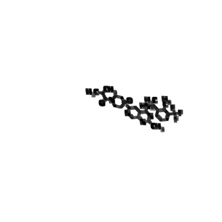 Cc1nc(N[C@H](C)c2cccc(C(F)(F)F)c2C)c2cc(P3(=O)CCN(C(=O)C(C)C)CC3)ncc2n1